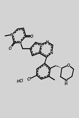 Cc1cc(Cl)cc(-c2ncnn3cc(Cn4c(=O)ccn(C)c4=O)cc23)c1C[C@H]1CNCCO1.Cl